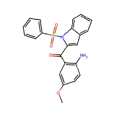 COc1ccc(N)c(C(=O)c2cc3ccccc3n2S(=O)(=O)c2ccccc2)c1